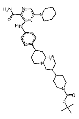 CC(C)(C)OC(=O)N1CCC(C(CN)CN2CCC(c3ccc(Nc4nc(N5CCCCC5)cnc4C(N)=O)cc3)CC2)CC1